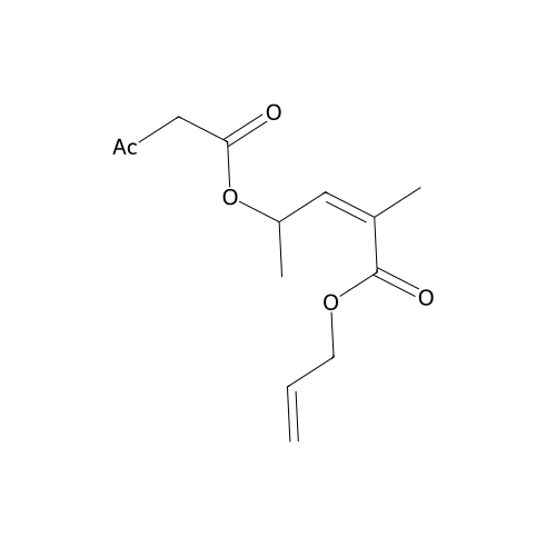 C=CCOC(=O)C(C)=CC(C)OC(=O)CC(C)=O